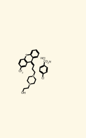 Cl.O=C(O)c1ccc(Cl)cc1.OCCN1CCN(CC/C=C2/c3ccccc3Sc3ccc(C(F)(F)F)cc32)CC1